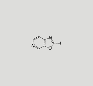 Ic1nc2ccncc2o1